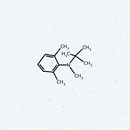 Cc1cccc(C)c1N(C)C(C)(C)C